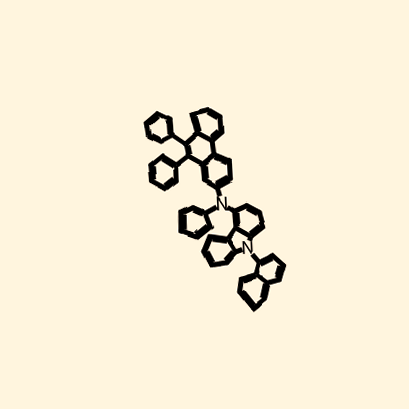 c1ccc(-c2c(-c3ccccc3)c3cc(N(c4ccccc4)c4cccc5c4c4ccccc4n5-c4cccc5ccccc45)ccc3c3ccccc23)cc1